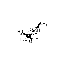 CCCCNC(=O)Nc1sc(CC)c(C)c1C(=O)O